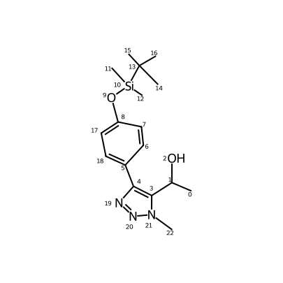 CC(O)c1c(-c2ccc(O[Si](C)(C)C(C)(C)C)cc2)nnn1C